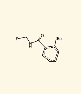 CC(C)(C)c1ccccc1C(=O)NCF